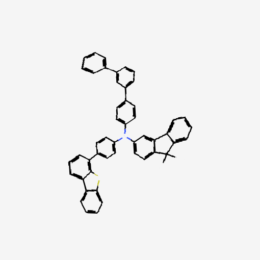 CC1(C)c2ccccc2-c2cc(N(c3ccc(-c4cccc(-c5ccccc5)c4)cc3)c3ccc(-c4cccc5c4sc4ccccc45)cc3)ccc21